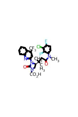 CN(C(=O)CC(C)(C)[C@H]1CN(C(=O)O)C(=O)N1c1cc(C(F)(F)F)c2ccccc2n1)c1ccc(F)c(Cl)c1F